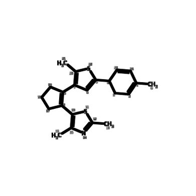 CC1=CCC(c2cc(C3=C(c4sc(C)nc4C)CCC3)c(C)s2)C=C1